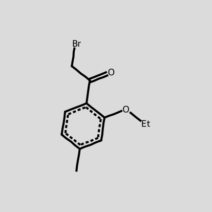 CCOc1cc(C)ccc1C(=O)CBr